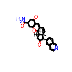 C[C@]12C=CC3=CC4=C(CC(C(N)=O)CC4=O)O[C@H]3[C@@H]1CC(=O)[C@@H]2c1ccc2cnccc2c1